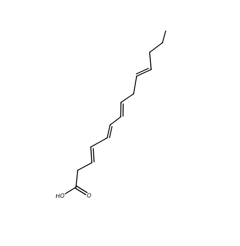 CCC/C=C/C/C=C/C=C/C=C/CC(=O)O